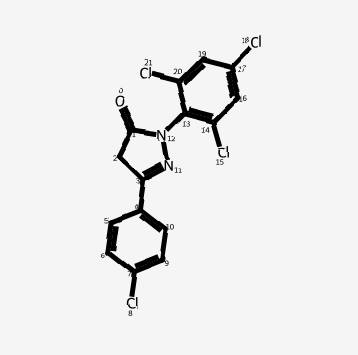 O=C1CC(c2ccc(Cl)cc2)=NN1c1c(Cl)cc(Cl)cc1Cl